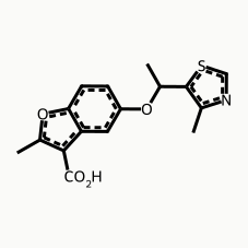 Cc1ncsc1C(C)Oc1ccc2oc(C)c(C(=O)O)c2c1